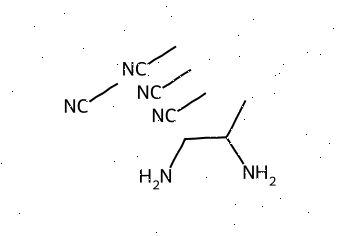 CC#N.CC#N.CC#N.CC#N.CC(N)CN